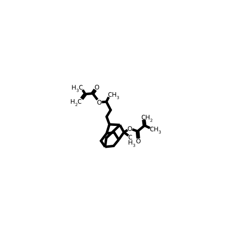 C=C(C)C(=O)OC(C)CCC1C2CC3CC(C2)C(C)(OC(=O)C(=C)C)C1C3